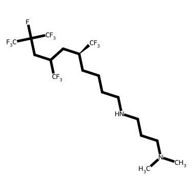 CN(C)CCCNCCCC[C@@H](CC(CC(F)(C(F)(F)F)C(F)(F)F)C(F)(F)F)C(F)(F)F